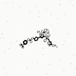 Cc1cc(CC(=O)Nc2cc(C3CCC(OC(=O)Oc4ccc([N+](=O)[O-])cc4)C3)nn2C(C)(C)C)on1